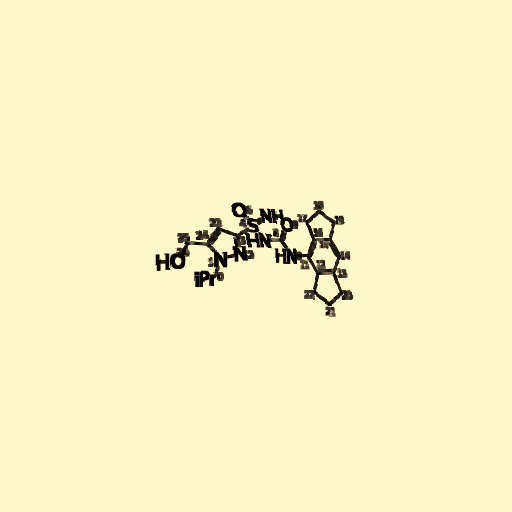 CC(C)n1nc(S(=N)(=O)NC(=O)Nc2c3c(cc4c2CCC4)CCC3)cc1CO